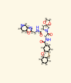 O=C(NCC(=O)N1CC2(C[C@H]1C(=O)NCc1nc3cnccc3o1)OCCO2)c1ccc2c(c1)Oc1ccccc1S2